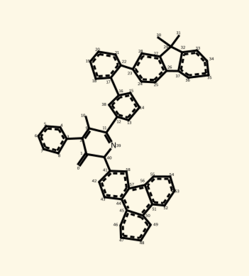 C=C1C(c2ccccc2)=C(C)C(c2cccc(-c3ccccc3-c3ccc4c(c3)C(C)(C)c3ccccc3-4)c2)=NC1c1ccc2c3ccccc3c3ccccc3c2c1